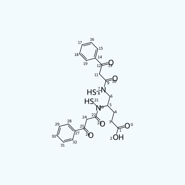 O=C(O)CCC(CN(S)C(=O)CC(=O)c1ccccc1)N(S)C(=O)CC(=O)c1ccccc1